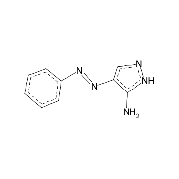 Nc1[nH]ncc1N=Nc1ccccc1